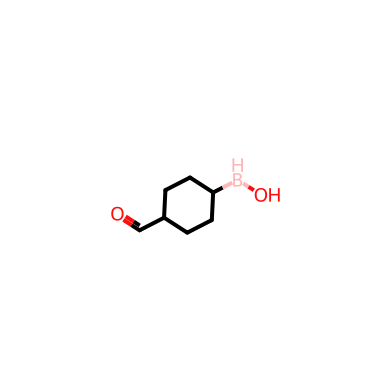 O=CC1CCC(BO)CC1